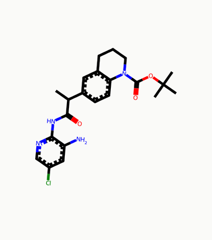 CC(C(=O)Nc1ncc(Cl)cc1N)c1ccc2c(c1)CCCN2C(=O)OC(C)(C)C